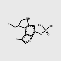 Cc1csc2c(OP(=O)(O)O)cc3c(c12)C(CCl)CN3